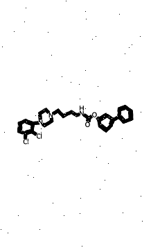 O=C(NCCCCN1CCN(c2cccc(Cl)c2Cl)CC1)Oc1cccc(-c2ccccc2)c1